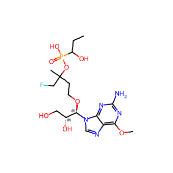 CCC(O)P(=O)(O)OC(C)(CF)CCO[C@H]([C@H](O)CO)n1cnc2c(OC)nc(N)nc21